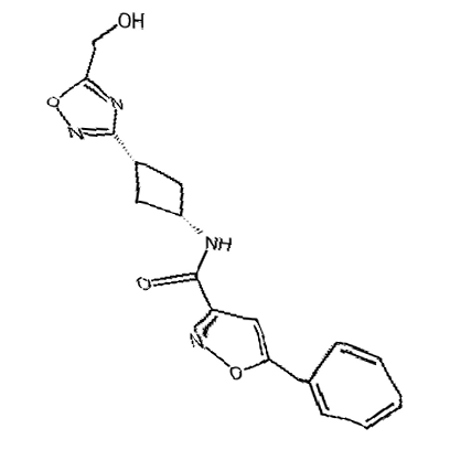 O=C(N[C@H]1C[C@@H](c2noc(CO)n2)C1)c1cc(-c2ccccc2)on1